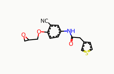 N#Cc1cc(NC(=O)Cc2ccsc2)ccc1OCC1CO1